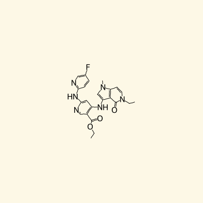 CCOC(=O)c1cnc(Nc2ccc(F)cn2)cc1Nc1cn(C)c2ccn(CC)c(=O)c12